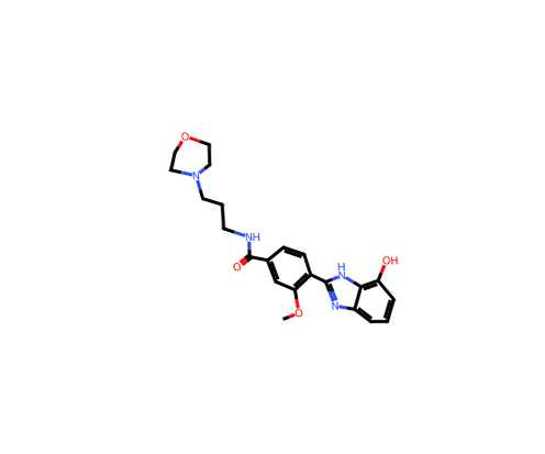 COc1cc(C(=O)NCCCN2CCOCC2)ccc1-c1nc2cccc(O)c2[nH]1